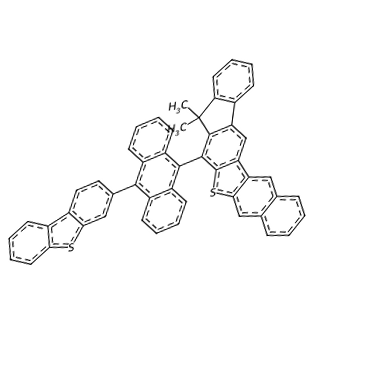 CC1(C)c2ccccc2-c2cc3c(sc4cc5ccccc5cc43)c(-c3c4ccccc4c(-c4ccc5c(c4)sc4ccccc45)c4ccccc34)c21